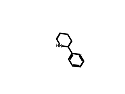 [c]1ccccc1C1CCCCN1